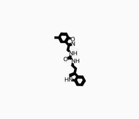 Cc1ccc2onc(CNC(=O)NCCc3c[nH]c4ccccc34)c2c1